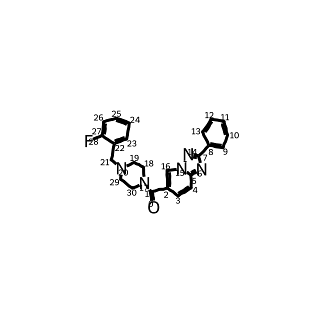 O=C(c1ccc2nc(-c3ccccc3)nn2c1)N1CCN(Cc2ccccc2F)CC1